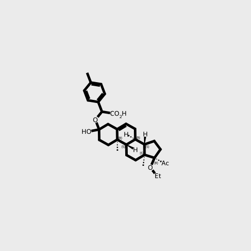 CCO[C@]1(C(C)=O)CC[C@H]2[C@@H]3CC=C4CC(O)(OC(C(=O)O)c5ccc(C)cc5)CC[C@]4(C)[C@H]3CC[C@@]21C